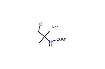 CC(C)(CCl)NC(=O)[O-].[Na+]